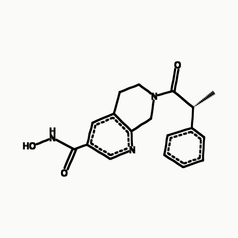 C[C@@H](C(=O)N1CCc2cc(C(=O)NO)cnc2C1)c1ccccc1